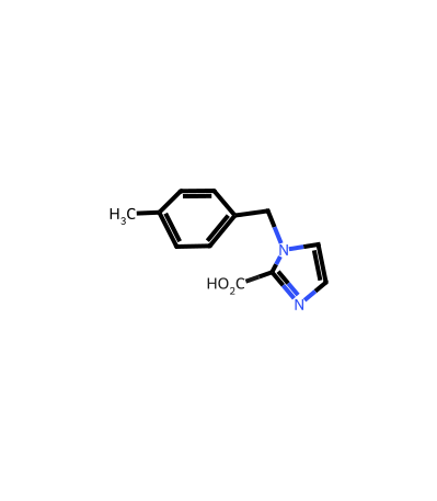 Cc1ccc(Cn2ccnc2C(=O)O)cc1